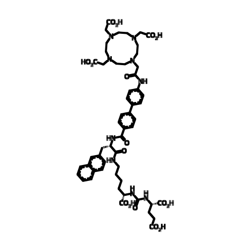 O=C(O)CC[C@H](NC(=O)N[C@@H](CCCCNC(=O)[C@H](Cc1ccc2ccccc2c1)NC(=O)c1ccc(-c2ccc(NC(=O)CN3CCN(CC(=O)O)CCN(CC(=O)O)CCN(CC(=O)O)CC3)cc2)cc1)C(=O)O)C(=O)O